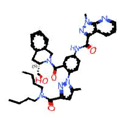 CCCCN(CCCC)C(=O)c1cc(C)n(-c2ccc(NC(=O)c3nn(C)c4ncccc34)cc2C(=O)N2Cc3ccccc3C[C@H]2CO)n1